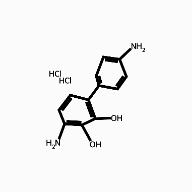 Cl.Cl.Nc1ccc(-c2ccc(N)c(O)c2O)cc1